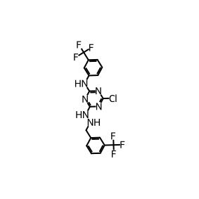 FC(F)(F)c1cccc(CNNc2nc(Cl)nc(Nc3cccc(C(F)(F)F)c3)n2)c1